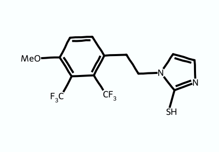 COc1ccc(CCn2ccnc2S)c(C(F)(F)F)c1C(F)(F)F